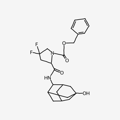 O=C(NC1C2CC3CC1CC(O)(C3)C2)C1CC(F)(F)CN1C(=O)OCc1ccccc1